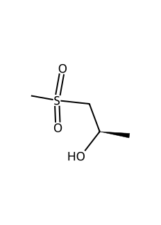 C[C@@H](O)CS(C)(=O)=O